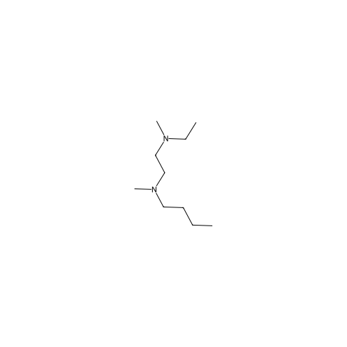 CCCCN(C)CCN(C)CC